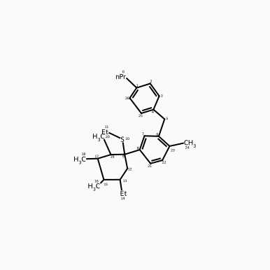 CCCc1ccc(Cc2cc(C3(SCC)CC(CC)C(C)C(C)C3C)ccc2C)cc1